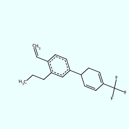 C=Cc1ccc(C2C=CC(C(F)(F)F)=CC2)cc1CCC